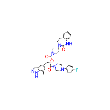 Cc1cc(C[C@@H](OC(=O)N2CCC(N3CCc4ccccc4NC3=O)CC2)C(=O)N2CCN(c3ccc(F)cc3)CC2)cc2cn[nH]c12